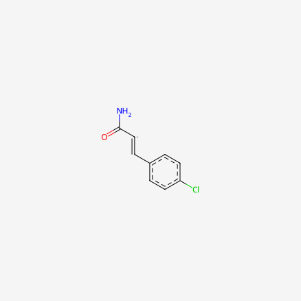 NC(=O)/[C]=C/c1ccc(Cl)cc1